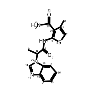 Cc1csc(NC(=O)C(C)n2cnc3ccccc32)c1C(N)=O